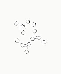 c1ccc(-c2ccc3c(c2)c2cc(-c4ccc5c(c4)c4cc(-c6ccccc6)ccc4n5-c4ccc(-c5cccc(-c6cccc(-c7cc(-c8ccccc8)nc(-c8ccccc8)n7)c6)c5)cc4)ccc2n3-c2ccccc2)cc1